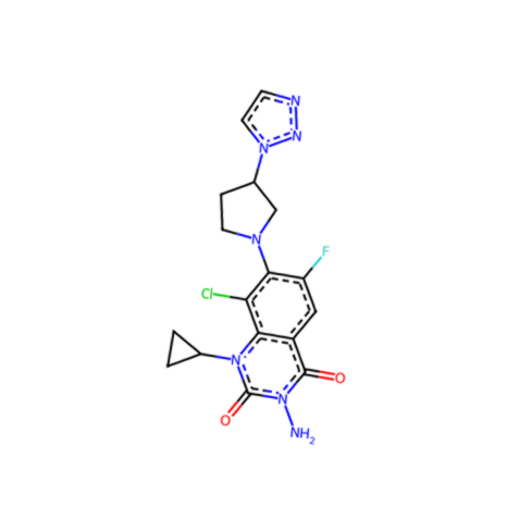 Nn1c(=O)c2cc(F)c(N3CCC(n4ccnn4)C3)c(Cl)c2n(C2CC2)c1=O